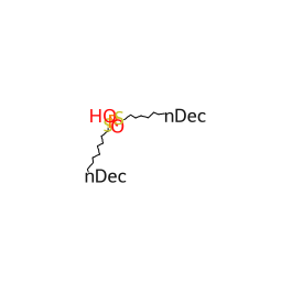 CCCCCCCCCCCCCCCCCCSP(=O)(O)SCCCCCCCCCCCCCCCCCC